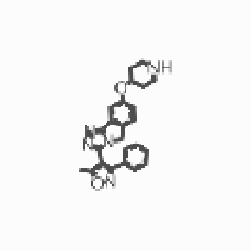 Cc1onc(-c2ccccc2)c1-c1nnc2n1Cc1ccc(OC3CCNCC3)cc1-2